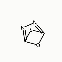 n1nc2oc1s2